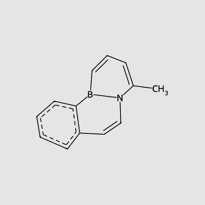 CC1=CC=CB2c3ccccc3C=CN21